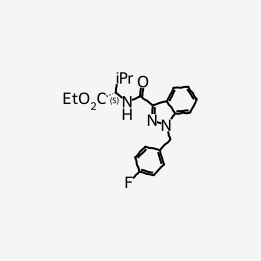 CCOC(=O)[C@@H](NC(=O)c1nn(Cc2ccc(F)cc2)c2ccccc12)C(C)C